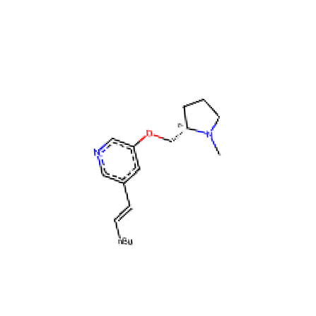 CCCCC=Cc1cncc(OC[C@@H]2CCCN2C)c1